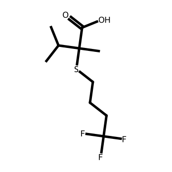 CC(C)C(C)(SCCCC(F)(F)F)C(=O)O